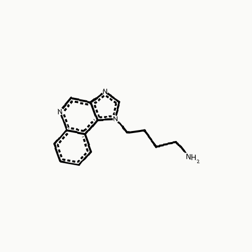 NCCCCn1cnc2cnc3ccccc3c21